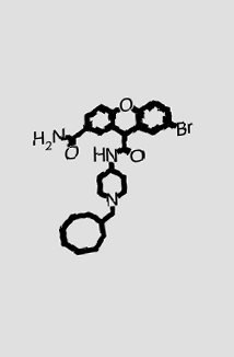 NC(=O)c1ccc2c(c1)C(C(=O)NC1CCN(CC3CCCCCCC3)CC1)c1cc(Br)ccc1O2